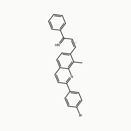 Cc1c(/C=C\C(=N)c2ccccc2)ccc2ccc(-c3ccc(Br)cc3)nc12